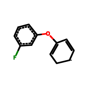 Fc1cccc(OC2=CC[CH]C=C2)c1